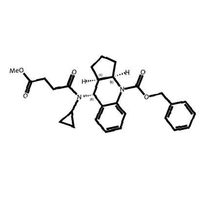 COC(=O)CCC(=O)N(C1CC1)[C@H]1c2ccccc2N(C(=O)OCc2ccccc2)[C@@H]2CCC[C@@H]21